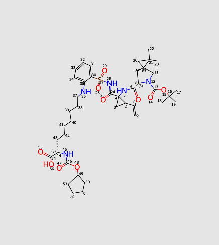 C=CC1CC1(NC(=O)[C@@H]1C[C@@]2(CN1C(=O)OC(C)(C)C)CC2(C)C)C(=O)NS(=O)(=O)c1ccccc1NCCCCCCC[C@H](NC(=O)OC1CCCC1)C(=O)O